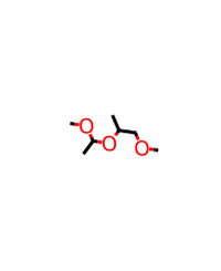 COCC(C)OC(C)OC